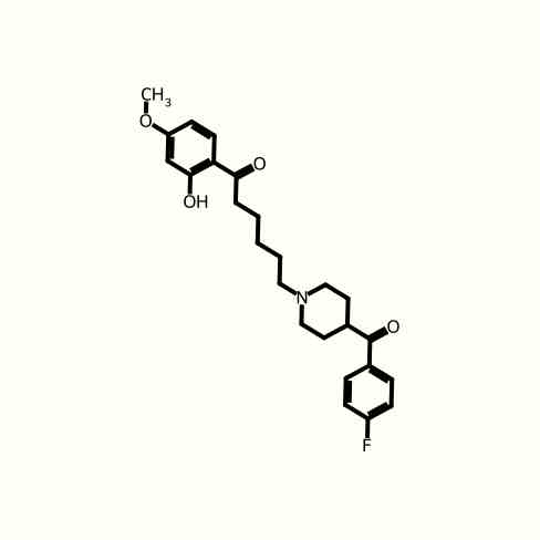 COc1ccc(C(=O)CCCCCN2CCC(C(=O)c3ccc(F)cc3)CC2)c(O)c1